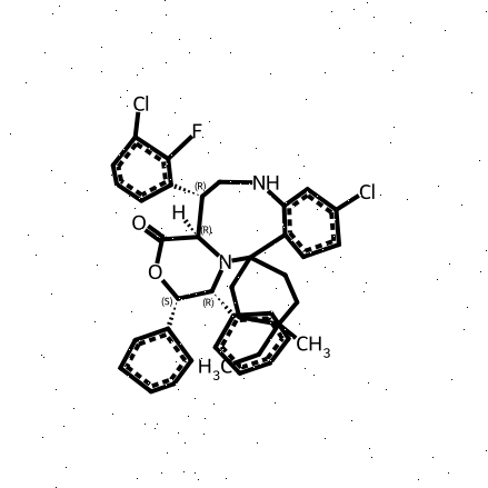 CCC1(C)CCC2(CC1)c1ccc(Cl)cc1NC[C@@H](c1cccc(Cl)c1F)[C@@H]1C(=O)O[C@@H](c3ccccc3)[C@@H](c3ccccc3)N12